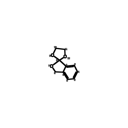 c1ccc2c(c1)COC21OCCO1